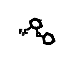 FC(F)(F)c1cc[c]cc1Oc1ccccc1